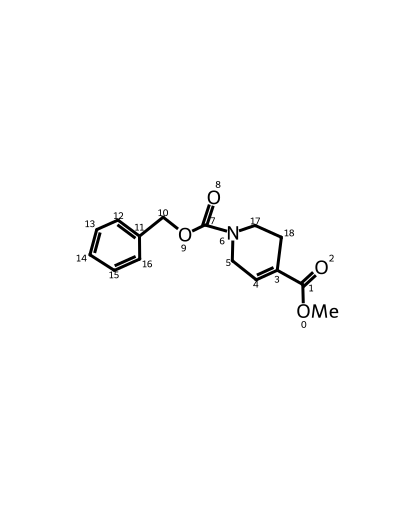 COC(=O)C1=CCN(C(=O)OCc2ccccc2)CC1